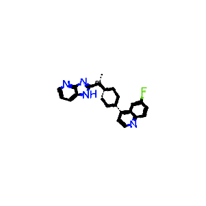 C[C@@H](c1nc2ncccc2[nH]1)[C@H]1CC[C@@H](c2ccnc3ccc(F)cc32)CC1